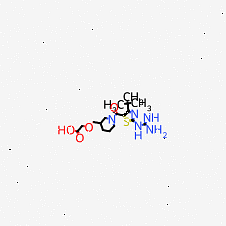 CC(C)(C)c1nc(NC(=N)N)sc1C(=O)N1CCCC(COCC(=O)O)C1